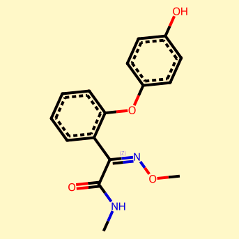 CNC(=O)/C(=N\OC)c1ccccc1Oc1ccc(O)cc1